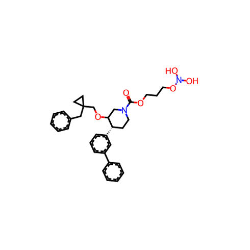 O=C(OCCCON(O)O)N1CC[C@H](c2cccc(-c3ccccc3)c2)C(OCC2(Cc3ccccc3)CC2)C1